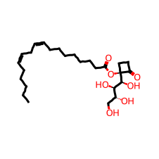 CCCCC/C=C\C/C=C\CCCCCCCC(=O)O[C@@]1([C@@H](O)[C@H](O)[C@H](O)CO)CCC1=O